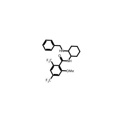 COc1cc(C(F)(F)F)cc(C(F)(F)F)c1C(=O)NC1CCCCC1NCc1ccccc1